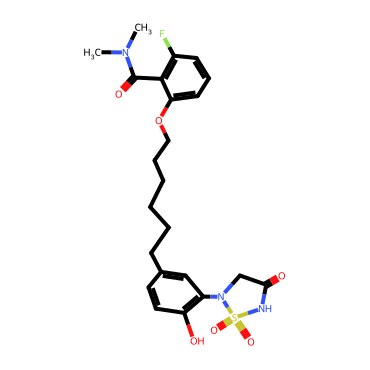 CN(C)C(=O)c1c(F)cccc1OCCCCCCc1ccc(O)c(N2CC(=O)NS2(=O)=O)c1